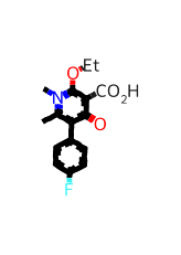 CCOc1c(C(=O)O)c(=O)c(-c2ccc(F)cc2)c(C)n1C